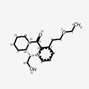 CCOCCc1cccnc1C(=O)N1CCCC[C@H]1CCO